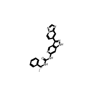 C[C@@H](NC(=O)Nc1cc2[nH]nc(-c3ccn4ncnc4c3)c2cn1)c1ccccc1